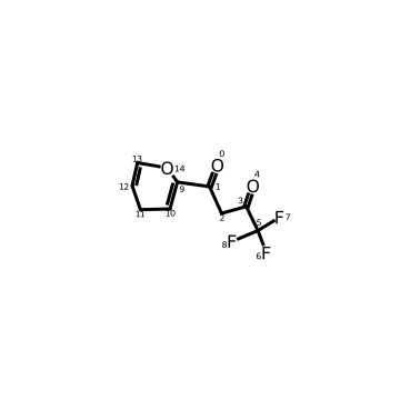 O=C(CC(=O)C(F)(F)F)C1=CCC=CO1